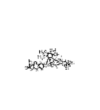 CCOP(=O)(CCNC(=O)OC1CC(C)(COc2ccc(CC3SC(=O)NC3=O)cc2)Oc2c(C)c(C)c(O)c(C)c21)OCC